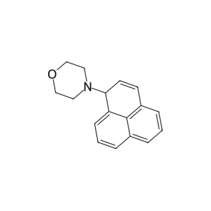 C1=CC(N2CCOCC2)c2cccc3cccc1c23